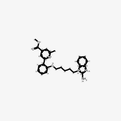 COC(=O)c1cc(C)nc(-c2ccccc2OCCCCCn2c(N)nc3ccccc32)c1